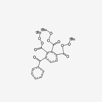 CC(C)(C)OOC(=O)c1ccc(C(=O)c2ccccc2)c(C(=O)OOC(C)(C)C)c1C(=O)OOC(C)(C)C